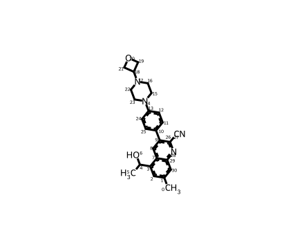 Cc1cc(C(C)O)c2cc(-c3ccc(N4CCN(C5COC5)CC4)cc3)c(C#N)nc2c1